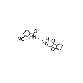 N#Cc1cccc(C(=O)NCCCCNCC2Oc3ccccc3C2=O)c1